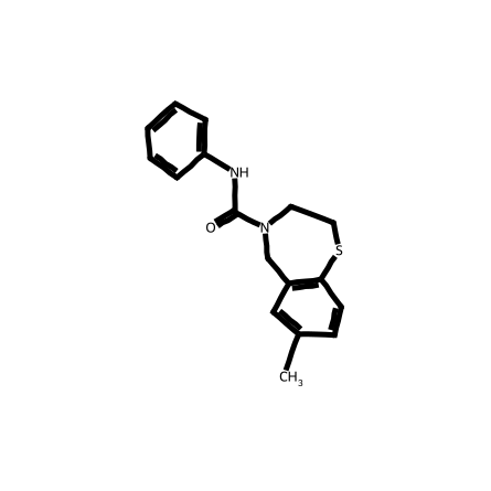 Cc1ccc2c(c1)CN(C(=O)Nc1ccccc1)CCS2